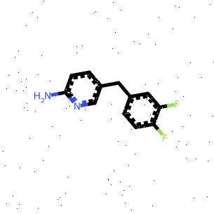 Nc1ccc(Cc2ccc(F)c(F)c2)cn1